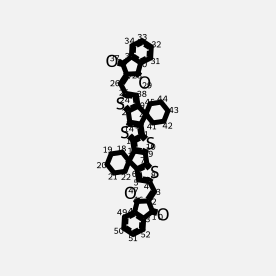 O=C1C(=Cc2cc3c(s2)-c2sc4c5c(sc4c2C32CCCCC2)-c2sc(C=C3C(=O)c4ccccc4C3=O)cc2C52CCCCC2)C(=O)c2ccccc21